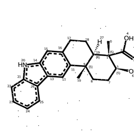 C[C@@]1(C(=O)O)[C@@H](O)CC[C@]2(C)c3cc4c(cc3CC[C@@H]12)[nH]c1ccccc14